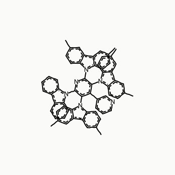 Cc1ccc2c(c1)c1cc(C)ccc1n2-c1nc(-n2c3ccccc3c3ccccc32)c(-n2c3ccc(C)cc3c3cc(C)ccc32)c(-c2cccnc2)c1-n1c2ccc(C)cc2c2cc(C)ccc21